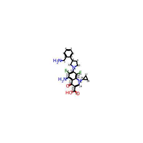 NCc1ccccc1C1CCN(c2c(F)c(N)c3c(=O)c(C(=O)O)cn(C4CC4)c3c2F)C1